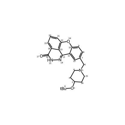 CC(C)(C)OC1CCN(Cc2ccc3c(c2)-c2n[nH]c(=O)c4cccc(c24)O3)CC1